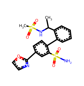 CC(NS(C)(=O)=O)c1ccccc1-c1ccc(-c2ncco2)cc1S(N)(=O)=O